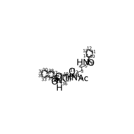 CC(=O)C(CCCCNC(=O)c1ccccc1)NC(=O)c1ccc(NS(=O)(=O)c2ccc3ccccc3c2)cc1